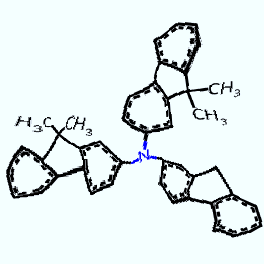 CC1(C)c2ccccc2-c2ccc(N(c3ccc4c(c3)Cc3ccccc3-4)c3ccc4c(c3)C(C)(C)c3ccccc3-4)cc21